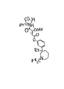 CCC1(c2cccc(OC(=O)/C=C(\OC)C(=O)N[C@H](C(=O)O)C(C)C)c2)CCCCN(C)C1